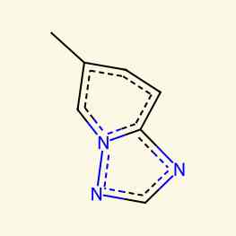 Cc1ccc2ncnn2c1